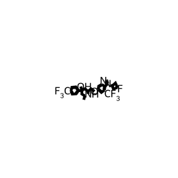 CC1CC(O)(c2ccc(C(F)(F)F)cc2)CC(COc2cc(C(F)(F)F)c3c(c2)ncn3C2CC(F)C2)N1